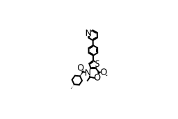 COC(=O)c1sc(-c2ccc(-c3cccnc3)cc2)cc1N(C(=O)[C@H]1CC[C@H](C)CC1)C(C)C